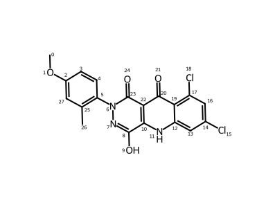 COc1ccc(-n2nc(O)c3[nH]c4cc(Cl)cc(Cl)c4c(=O)c3c2=O)c(C)c1